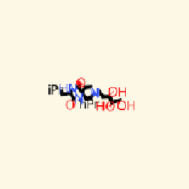 CCCN1C(=O)C(CC(C)C)NC(=O)C12CCN(CC[C@H](O)[C@H](O)CO)CC2